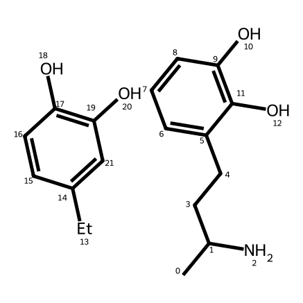 CC(N)CCc1cccc(O)c1O.CCc1ccc(O)c(O)c1